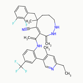 C=C1NNCCCC(C)(Cc2cccc(F)c2F)/C(C#N)=C\1C(=C)Nc1ccc(C(F)(F)F)cc1-c1cnc(CC)cc1C